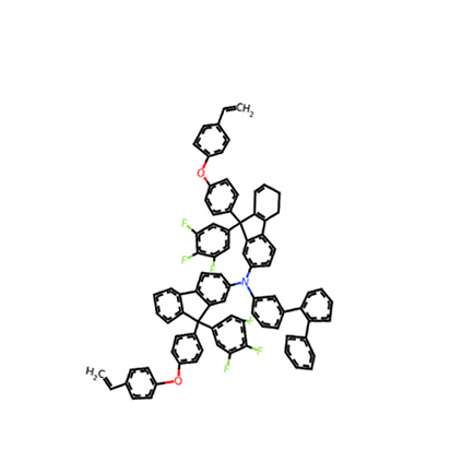 C=Cc1ccc(Oc2ccc(C3(c4cc(F)c(F)c(F)c4)C4=C(CCC=C4)c4ccc(N(c5cccc(-c6ccccc6-c6ccccc6)c5)c5ccc6c(c5)C(c5ccc(Oc7ccc(C=C)cc7)cc5)(c5cc(F)c(F)c(F)c5)c5ccccc5-6)cc43)cc2)cc1